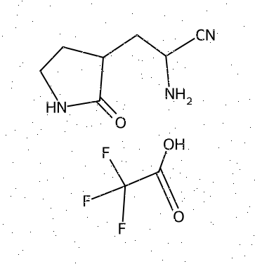 N#CC(N)CC1CCNC1=O.O=C(O)C(F)(F)F